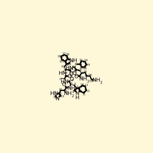 C[C@H](NC(=O)[C@@H](Cc1c[nH]c2ccccc12)NC(=O)C(N)Cc1cnc[nH]1)C(=O)N[C@@H](Cc1c[nH]c2ccccc12)C(=O)N[C@H](Cc1ccccc1)C(=O)C[C@@H](CCCCN)C(N)=O